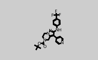 CC(C)(C)OC(=O)N1CCn2nc(Nc3ccc(C(F)(F)F)cc3)c(-c3ccncc3)c2C1